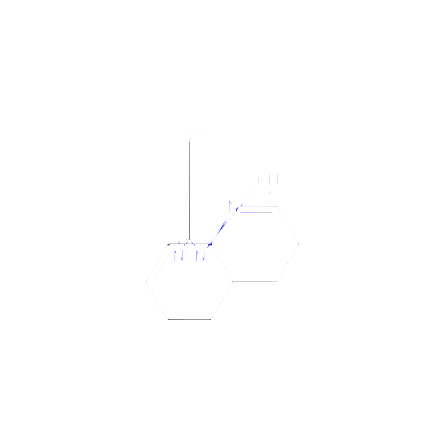 CC1=NC2=CCCC3CCC=NC23N1C